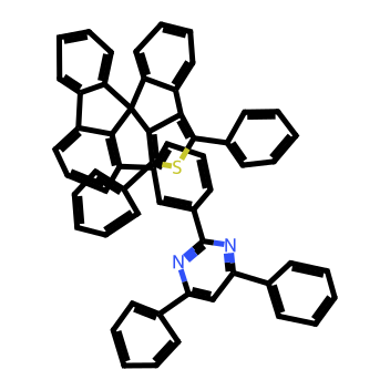 c1ccc(-c2cc(-c3ccccc3)nc(-c3cccc(-c4cccc5c4C4(c6ccccc6-5)c5ccccc5-c5c(-c6ccccc6)sc(-c6ccccc6)c54)c3)n2)cc1